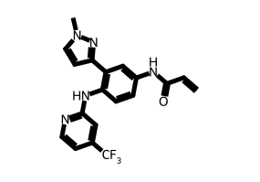 C=CC(=O)Nc1ccc(Nc2cc(C(F)(F)F)ccn2)c(-c2ccn(C)n2)c1